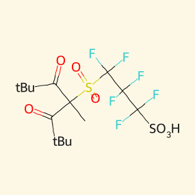 CC(C)(C)C(=O)C(C)(C(=O)C(C)(C)C)S(=O)(=O)C(F)(F)C(F)(F)C(F)(F)S(=O)(=O)O